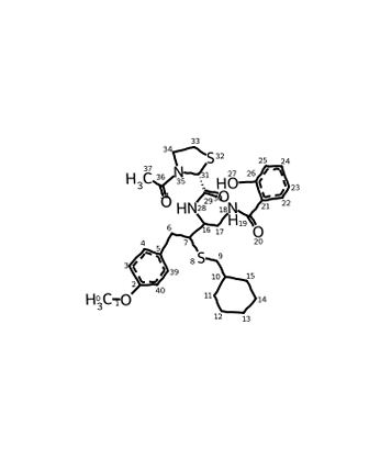 COc1ccc(CC(SCC2CCCCC2)C(CNC(=O)c2ccccc2O)NC(=O)[C@H]2SCCN2C(C)=O)cc1